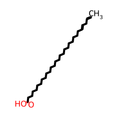 CC=CCC=CCCCCCCCCCCCCCCCCCCCCCCCC(=O)O